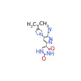 CC(C)[C@@H]1CCN(c2cc(-c3c[nH]c(=O)[nH]c3=O)nnc2C#N)C1